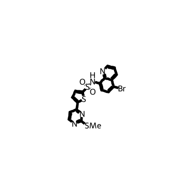 CSc1nccc(-c2ccc(S(=O)(=O)Nc3ccc(Br)c4cccnc34)s2)n1